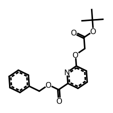 CC(C)(C)OC(=O)COc1cccc(C(=O)OCc2ccccc2)n1